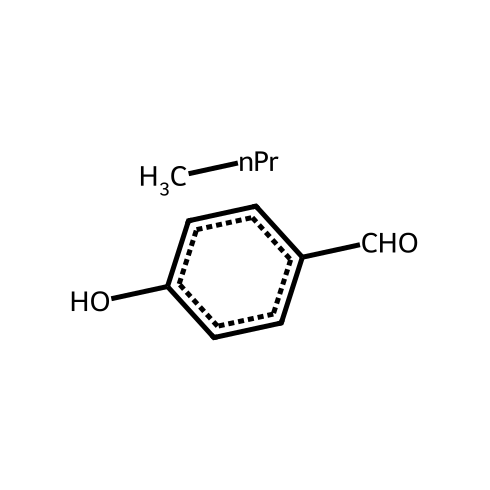 CCCC.O=Cc1ccc(O)cc1